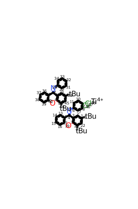 CC(C)(C)c1cc(/C(=N\c2ccccc2)c2ccccc2)c([O-])c(C(C)(C)C)c1.CC(C)(C)c1cc(/C(=N\c2ccccc2)c2ccccc2)c([O-])c(C(C)(C)C)c1.[Cl-].[Cl-].[Ti+4]